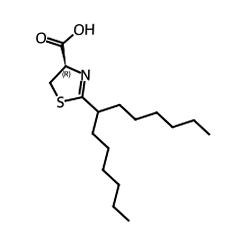 CCCCCCC(CCCCCC)C1=N[C@H](C(=O)O)CS1